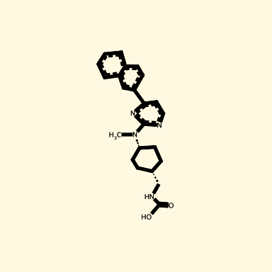 CN(c1nccc(-c2ccc3ccccc3c2)n1)[C@H]1CC[C@@H](CNC(=O)O)CC1